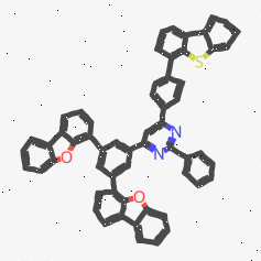 c1ccc(-c2nc(-c3ccc(-c4cccc5c4sc4ccccc45)cc3)cc(-c3cc(-c4cccc5c4oc4ccccc45)cc(-c4cccc5c4oc4ccccc45)c3)n2)cc1